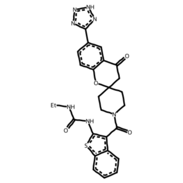 CCNC(=O)Nc1sc2ccccc2c1C(=O)N1CCC2(CC1)CC(=O)c1cc(-c3nn[nH]n3)ccc1O2